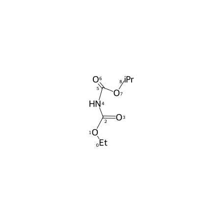 CCOC(=O)NC(=O)OC(C)C